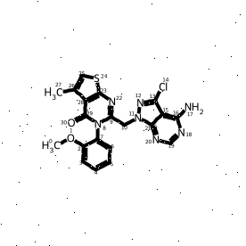 COc1ccccc1-n1c(Cn2nc(Cl)c3c(N)ncnc32)nc2scc(C)c2c1=O